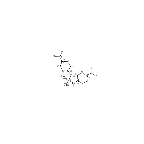 CC(C)N1CCN(OP(=O)(Cl)ON2CCN(C(C)C)CC2)CC1